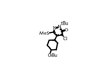 CSc1nn(C(C)(C)C)c(=O)c(Cl)c1C1CCC(OCC(C)C)CC1